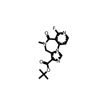 CN1Cc2c(C(=O)OC(C)(C)C)ncn2-c2ccnc(F)c2C1=O